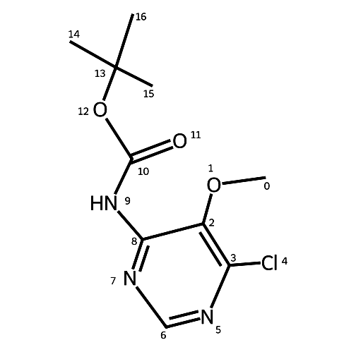 COc1c(Cl)ncnc1NC(=O)OC(C)(C)C